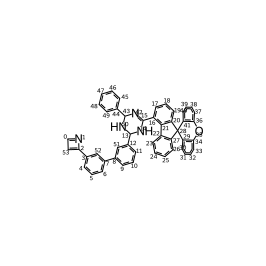 C1=NC(c2cccc(-c3cccc(C4NC(c5cccc6c5-c5ccccc5C65c6ccccc6Oc6ccccc65)=NC(c5ccccc5)N4)c3)c2)=C1